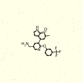 Cc1cc(-c2cc(CN)cnc2Oc2cccc(C(F)(F)F)c2)c2cc[nH]c2[n+]1[O-]